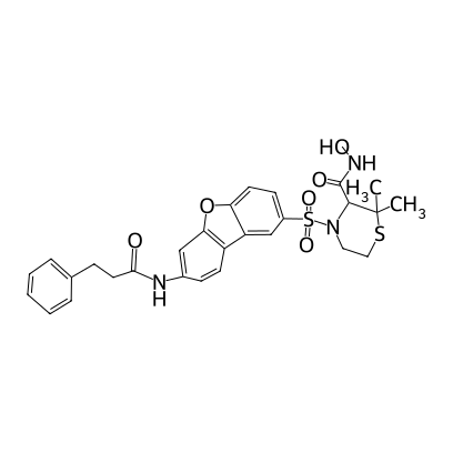 CC1(C)SCCN(S(=O)(=O)c2ccc3oc4cc(NC(=O)CCc5ccccc5)ccc4c3c2)C1C(=O)NO